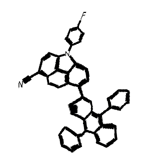 N#Cc1ccc2c3c1ccc1c(-c4ccc5c(-c6ccccc6)c6ccccc6c(-c6ccccc6)c5c4)ccc(c13)n2-c1ccc(F)cc1